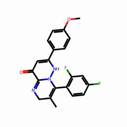 COc1ccc(C2=CC(=O)C3=NCC(C)=C(c4ccc(F)cc4F)N3N2)cc1